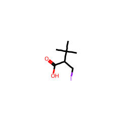 CC(C)(C)C(CI)C(=O)O